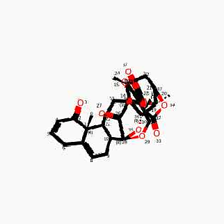 C[C@]12C(=O)C=CCC1=CCC1C2CC[C@@]2(O)C(=O)O[C@@]3(C)C4C[C@@]5(C)C6C(=O)[C@]1(OC[C@H]5C(=O)O4)O[C@]623